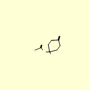 CC(C)(C)C1(OC(N)=O)CCC(=O)CC1